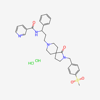 CS(=O)(=O)c1ccc(CN2CCC3(CCN(CCC(NC(=O)c4cccnc4)c4ccccc4)CC3)C2=O)cc1.Cl.Cl